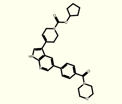 O=C(OC1CCCC1)N1CC=C(c2c[nH]c3ncc(-c4ccc(C(=O)N5CCOCC5)cc4)cc23)CC1